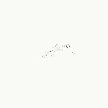 CC(C)C1=C2[C@H]3CC[C@@H]4[C@@]5(C)CC[C@H](OC(=O)[C@H]6C[C@@H](C(=O)O)C6(C)C)C(C)(C)[C@@H]5CC[C@@]4(C)[C@]3(C)CC[C@@]2([C@@H](O)CNC(=O)c2ccc(CN3CCN(C)CC3)cc2)CC1=O